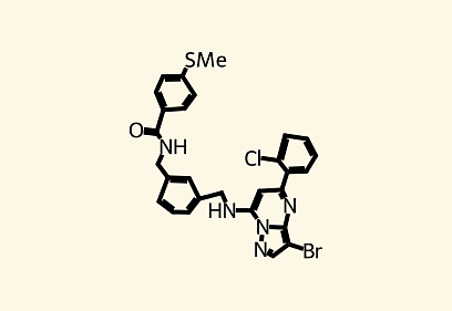 CSc1ccc(C(=O)NCc2cccc(CNc3cc(-c4ccccc4Cl)nc4c(Br)cnn34)c2)cc1